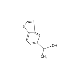 C[C](O)c1ccc2sccc2c1